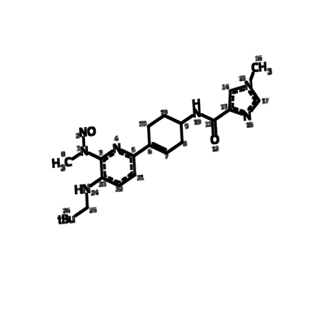 CN(N=O)c1nc(C2=CCC(NC(=O)c3cn(C)cn3)CC2)ccc1NCC(C)(C)C